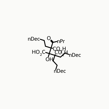 CCCCCCCCCCCCC(CCCCCCCCCCCC)(C(=O)O)C(O)(C(=O)O)C(CCCCCCCCCCCC)(C(=O)O)C(=O)CCC